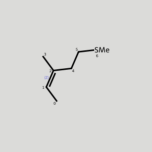 C/C=C(/C)CCSC